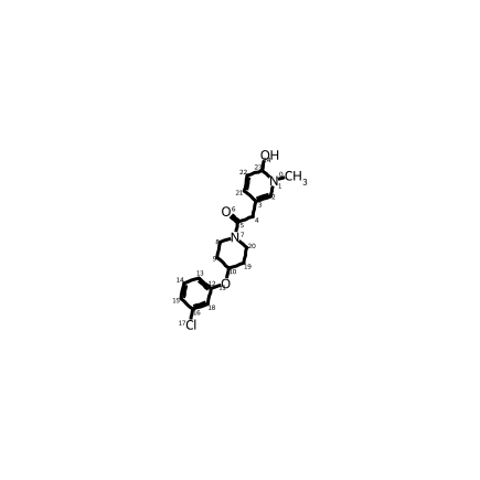 CN1C=C(CC(=O)N2CCC(Oc3cccc(Cl)c3)CC2)C=CC1O